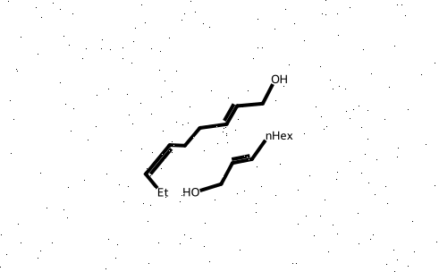 CC/C=C\CC/C=C/CO.CCCCCC/C=C/CO